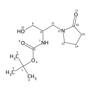 CC(C)(C)OC(=O)NC(CO)CN1CCCC1=O